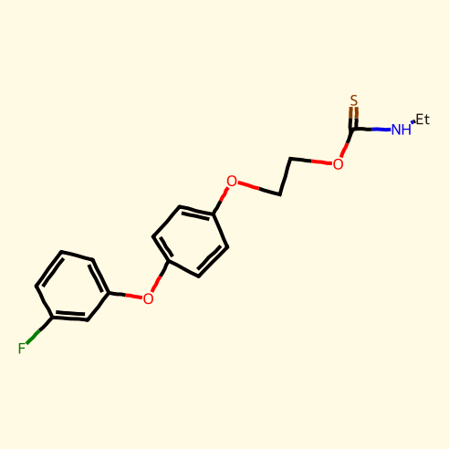 CCNC(=S)OCCOc1ccc(Oc2cccc(F)c2)cc1